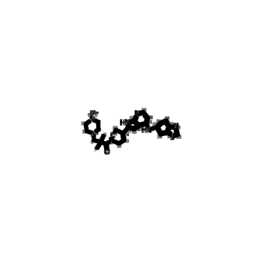 CC(C)N1CCN(CC(C)(C)C(=O)N2CC=C(c3cc4c(Nc5ccc6ncsc6c5)ccnc4[nH]3)CC2)CC1